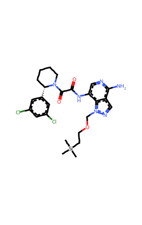 C[Si](C)(C)CCOCn1ncc2c(N)ncc(NC(=O)C(=O)N3CCCC[C@H]3c3cc(Cl)cc(Cl)c3)c21